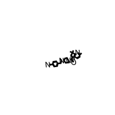 Cc1ccc2c(n1)C(C)(C)CN2C(=O)N1CCC(N(C)Cc2ccc(C#N)cc2)CC1